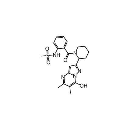 Cc1nc2cc(C3CCCCN3C(=O)c3ccccc3NS(C)(=O)=O)nn2c(O)c1C